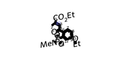 CCOC(=O)/C(C)=C/C(=O)c1ccc(OCC)cc1S(=O)(=O)NC